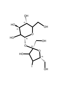 OCC1O[C@H](O[C@@]2(CO)O[C@H](CO)C(I)C2O)C(O)[C@@H](O)[C@@H]1O